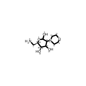 NC[C@H]1OC(O)C(N2CCOCC2)C(O)[C@H]1O